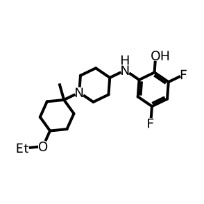 CCOC1CCC(C)(N2CCC(Nc3cc(F)cc(F)c3O)CC2)CC1